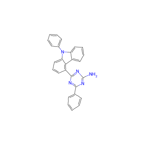 Nc1nc(-c2ccccc2)nc(-c2cccc3c2c2ccccc2n3-c2ccccc2)n1